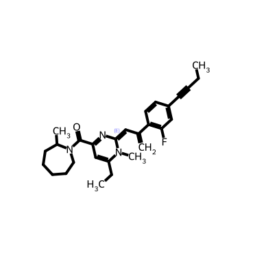 C=C(/C=C1/N=C(C(=O)N2CCCCCC2C)C=C(CC)N1C)c1ccc(C#CCC)cc1F